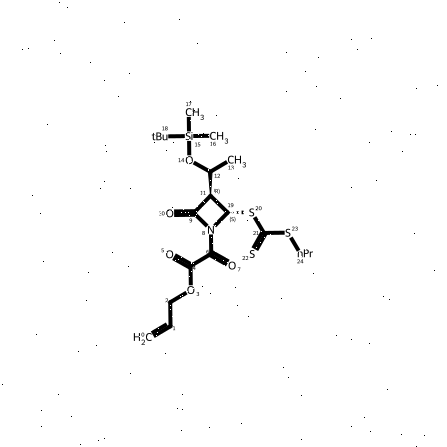 C=CCOC(=O)C(=O)N1C(=O)[C@@H](C(C)O[Si](C)(C)C(C)(C)C)[C@@H]1SC(=S)SCCC